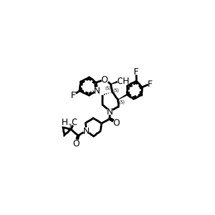 C[C@H](Oc1ccc(F)cn1)[C@H]1CCN(C(=O)C2CCN(C(=O)C3(C)CC3)CC2)C[C@@H]1c1ccc(F)c(F)c1